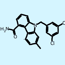 Cc1c[c]c2c3c(C(N)=O)cccc3n(Cc3cc(Cl)cc(Cl)c3)c2c1